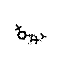 CC(C)SC(C)(C)C(=O)Nc1cccc(C(C)(C)C)c1